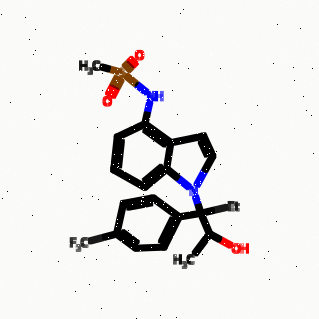 CCC(c1ccc(C(F)(F)F)cc1)(C(C)O)n1ccc2c(NS(C)(=O)=O)cccc21